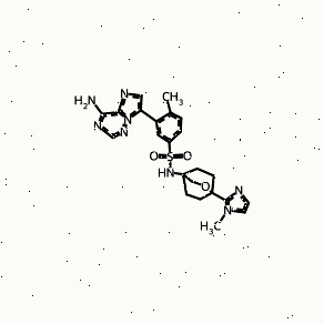 Cc1ccc(S(=O)(=O)NC23CCC(c4nccn4C)(CC2)OC3)cc1-c1cnc2c(N)ncnn12